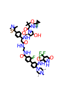 Cc1ncsc1-c1ccc(C(CC(=O)NCCNC(=O)c2ccc(-c3ccc(N4C[C@@H](C)N(C)[C@@H](C)C4)c(NC(=O)c4c[nH]c(=O)cc4C(F)(F)F)c3)c(F)c2)NC(=O)[C@@H]2C[C@@H](O)CN2C(=O)C(NC(=O)C2(F)CC2)C(C)(C)C)cc1